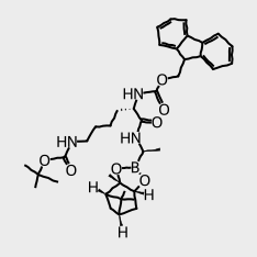 C[C@H](NC(=O)[C@H](CCCCNC(=O)OC(C)(C)C)NC(=O)OCC1c2ccccc2-c2ccccc21)B1O[C@@H]2C[C@@H]3C[C@@H](C3(C)C)[C@]2(C)O1